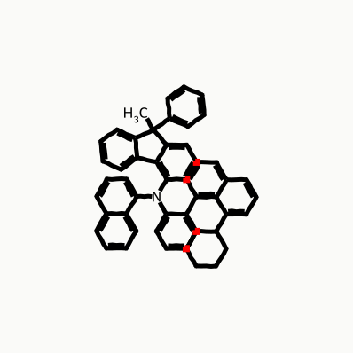 CC1(c2ccccc2)c2ccccc2-c2c(N(c3ccccc3-c3cccc4cccc(C5CCCCC5)c34)c3cccc4ccccc34)cccc21